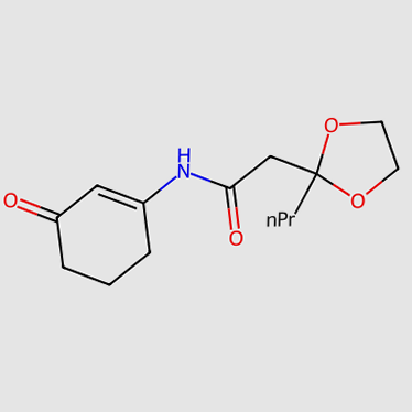 CCCC1(CC(=O)NC2=CC(=O)CCC2)OCCO1